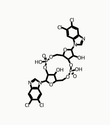 O=P1(O)OCC2OC(n3cnc4cc(Cl)c(Cl)cc43)C(OP(=O)(O)OCC3OC(n4cnc5cc(Cl)c(Cl)cc54)C(O)C3O1)C2O